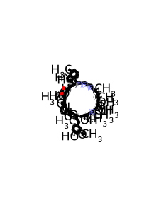 CO[C@H]1[C@@H](O)[C@H](C)C[C@H](C)/C=C/C=C/C=C(\C)[C@@H](C2=CNC3C(C)=CC=CC23)C[C@@H]2CC[C@@H](C)[C@@](O)(O2)C(=O)C(=O)N2CCCC[C@H]2C(=O)O[C@H]([C@H](C)CC2CC[C@@H](O)[C@H](OC)C2)C[C@H](O)[C@H](C)/C=C(\C)[C@H]1O